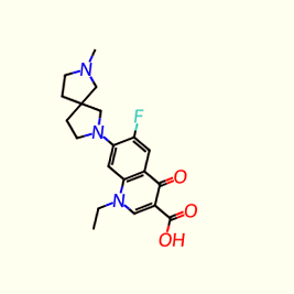 CCn1cc(C(=O)O)c(=O)c2cc(F)c(N3CCC4(CCN(C)C4)C3)cc21